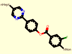 CCCCCCCCCc1ccc(C(=O)Oc2ccc(-c3ncc(CCCCCCC)cn3)cc2)cc1F